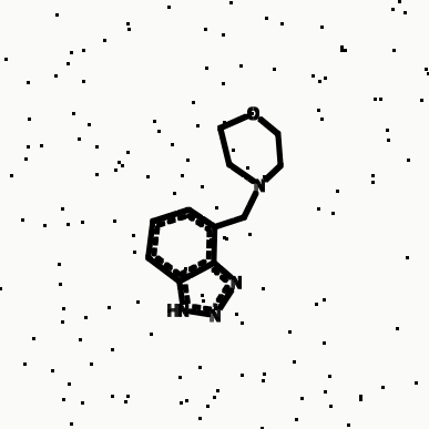 c1cc(CN2CCOCC2)c2nn[nH]c2c1